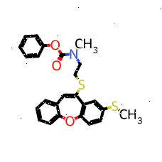 CSc1ccc2c(c1)C(SCCN(C)C(=O)Oc1ccccc1)=Cc1ccccc1O2